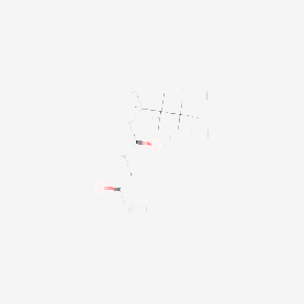 CCCCC(=O)CCC(=O)CC(C)C(C)(C)C(C)(S(=O)(=O)O)S(=O)(=O)O